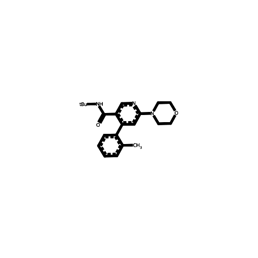 Cc1ccccc1-c1cc(N2CCOCC2)ncc1C(=O)NC(C)(C)C